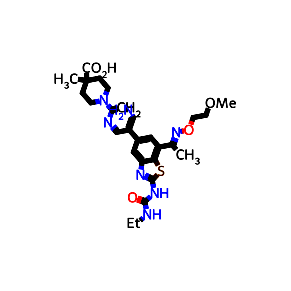 C=C(/N=C\C(=C/N)c1cc(/C(C)=N/OCCOC)c2sc(NC(=O)NCC)nc2c1)N1CCC(C)(C(=O)O)CC1